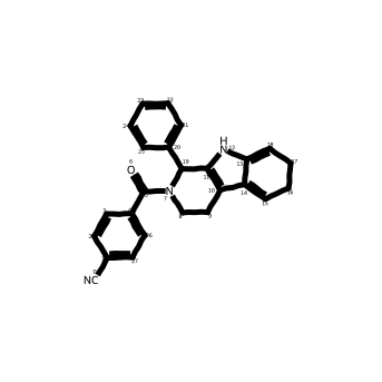 N#Cc1ccc(C(=O)N2CCc3c([nH]c4c3=CCCC=4)C2c2ccccc2)cc1